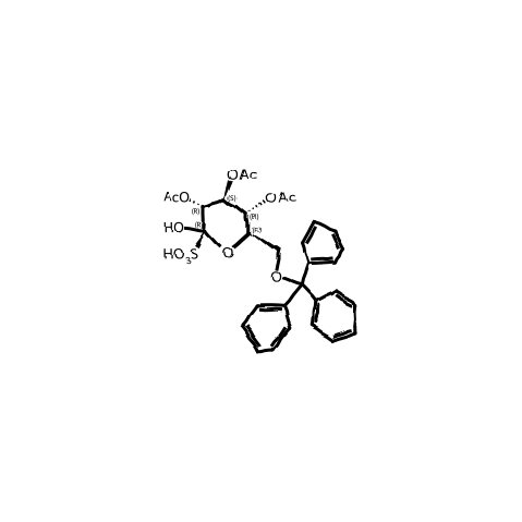 CC(=O)O[C@H]1[C@H](OC(C)=O)[C@@H](COC(c2ccccc2)(c2ccccc2)c2ccccc2)O[C@@](O)(S(=O)(=O)O)[C@@H]1OC(C)=O